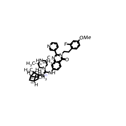 COc1ccc(CCn2c(-c3cccnc3)nc3cc(N/C(=N/[C@H]4C[C@@H]5C[C@H]([C@@H]4C)C5(C)C)N4C[C@@H](C)N[C@@H](C)C4)ccc3c2=O)c(F)c1